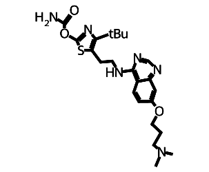 CN(C)CCCOc1ccc2c(NCCc3sc(OC(N)=O)nc3C(C)(C)C)ncnc2c1